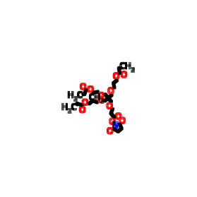 C=CC(=O)OCCCOCC(COCCCOC(=O)C=C)(COCCC(=O)ON1C(=O)CCC1=O)COCC(C)OC(=O)C=C